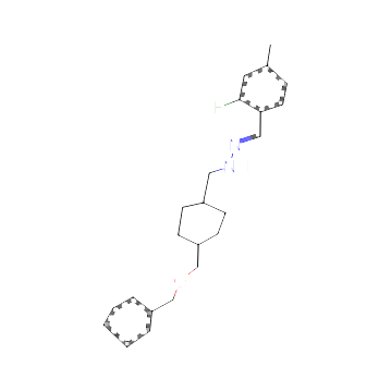 Cc1ccc(/C=N/NCC2CCC(COCc3ccccc3)CC2)c(F)c1